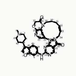 CN1CCC(c2coc3cc(Nc4ncc5c(=O)n6n(c5n4)-c4cnc5c(c4)N(CCC/C=C\C6)C(=O)CO5)ccc23)CC1